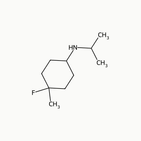 CC(C)NC1CCC(C)(F)CC1